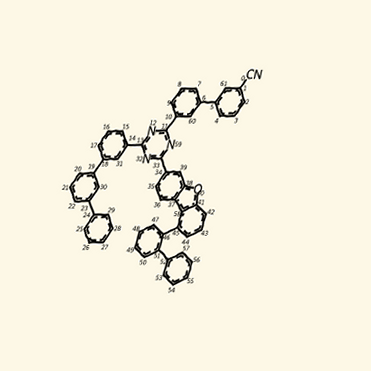 N#Cc1cccc(-c2cccc(-c3nc(-c4cccc(-c5cccc(-c6ccccc6)c5)c4)nc(-c4ccc5c(c4)oc4cccc(-c6ccccc6-c6ccccc6)c45)n3)c2)c1